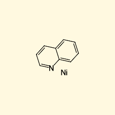 [Ni].c1ccc2ncccc2c1